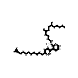 CCCCCC(C)CCC(C)CCCC[SiH2]c1ncccc1-c1ccc(CCCCCCCCCC2CC2)nn1